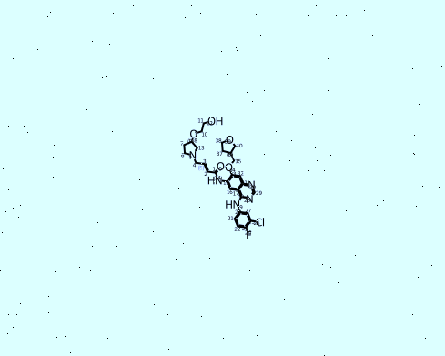 O=C(/C=C/CN1CC[C@@H](OCCO)C1)Nc1cc2c(Nc3ccc(F)c(Cl)c3)ncnc2cc1OC[C@H]1CCOC1